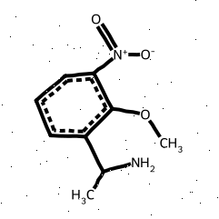 COc1c(C(C)N)cccc1[N+](=O)[O-]